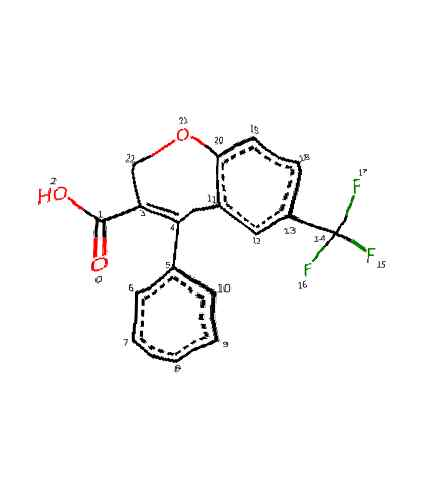 O=C(O)C1=C(c2ccccc2)c2cc(C(F)(F)F)ccc2OC1